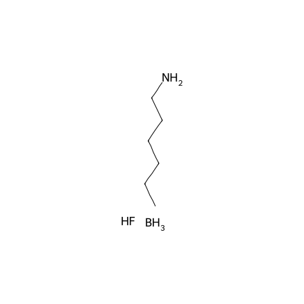 B.CCCCCCN.F